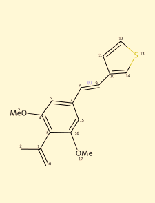 C=C(C)c1c(OC)cc(/C=C/c2ccsc2)cc1OC